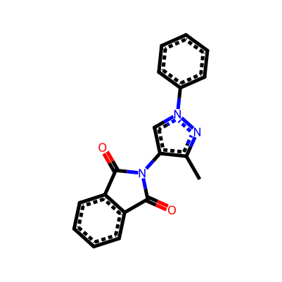 Cc1nn(-c2ccccc2)cc1N1C(=O)c2ccccc2C1=O